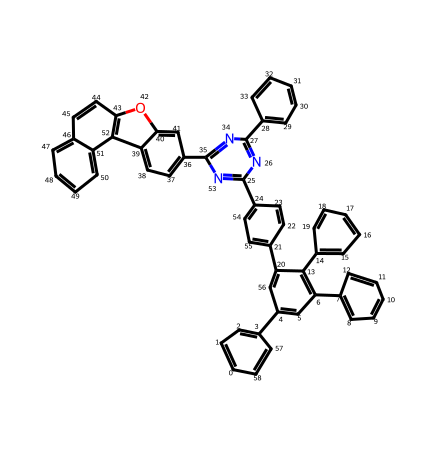 c1ccc(-c2cc(-c3ccccc3)c(-c3ccccc3)c(-c3ccc(-c4nc(-c5ccccc5)nc(-c5ccc6c(c5)oc5ccc7ccccc7c56)n4)cc3)c2)cc1